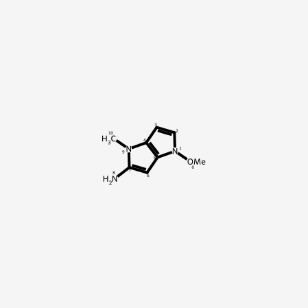 COn1ccc2c1cc(N)n2C